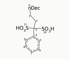 CCCCCCCCCCCCC(c1ccccc1)(S(=O)(=O)O)S(=O)(=O)O